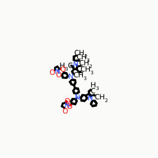 C=C/C=C\C(=C/C)n1c(C)c(/C=C(\C)N(c2ccc(ON3C(=O)CCC3=O)cc2)c2ccc(-c3ccc(N(c4ccc(ON5C(=O)CCC5=O)cc4)c4ccc5c(c4)c(/C=C\C)c(C=C)n5-c4ccccc4)cc3)cc2)c(/C=C\C)c1C=C